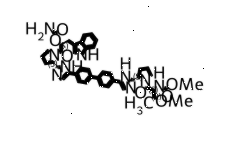 COC(=O)N[C@H](C(=O)N1CCC[C@H]1c1ncc(-c2ccc(-c3ccc(-c4cnc([C@@H]5CCCN5C(=O)[C@H](Cc5c[nH]c6ccccc56)OC(N)=O)[nH]4)cc3)cc2)[nH]1)[C@@H](C)OC